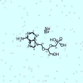 Nc1ncnc2c1ncn2COC(CO)OCP(=O)(O)O.[Na].[Na]